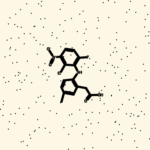 Cc1ccc(Nc2c(F)ccc([N+](=O)[O-])c2Cl)c(CC(=O)O)c1